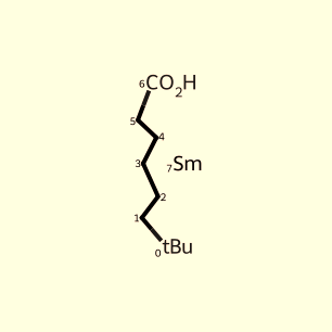 CC(C)(C)CCCCCC(=O)O.[Sm]